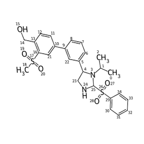 CC(C)N1C(c2cccc(-c3ccc(CO)c(S(C)(=O)=O)c3)c2)CNC1S(=O)(=O)c1ccccc1